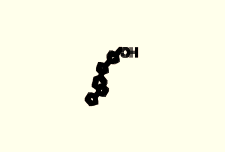 OCc1ccc(C2=CC(c3ccc4c(c3)C=CC4C3CCCC3)=CC2)cc1